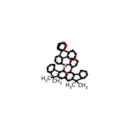 CC1(C)c2ccccc2-c2c(-c3ccccc3N(c3cccc(-c4ccccc4)c3-c3ccccc3-c3ccccc3)c3cccc4c3-c3ccccc3C4(C)C)cccc21